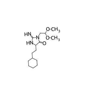 COC(CN1C(=N)NC(CCC2CCCCC2)C1=O)OC